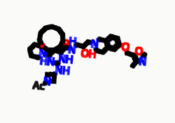 CC(=O)N1CC(NC2NC(C(=O)NC[C@H](O)CN3CCc4cc(OCc5ocnc5C)ccc4C3)C3(CCCCCCCCCC3)C(N3CCCCC3)N2)C1